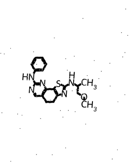 COCC(C)Nc1nc2c(s1)-c1nc(Nc3ccccc3)ncc1CC2